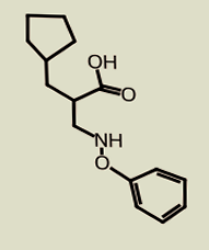 O=C(O)C(CNOc1ccccc1)CC1CCCC1